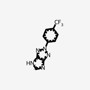 FC(F)(F)c1ccc(-n2nc3n[c][nH]c3n2)cc1